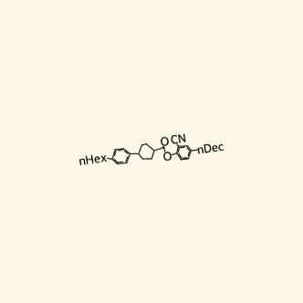 CCCCCCCCCCc1ccc(OC(=O)C2CCC(c3ccc(CCCCCC)cc3)CC2)c(C#N)c1